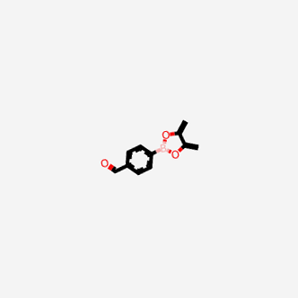 C=C1OB(c2ccc(C=O)cc2)OC1=C